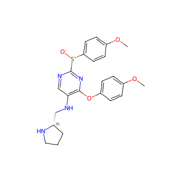 COc1ccc(Oc2nc([S+]([O-])c3ccc(OC)cc3)ncc2NC[C@@H]2CCCN2)cc1